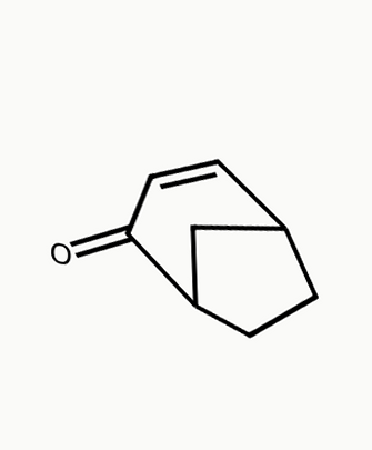 O=C1C=CC2CCC1C2